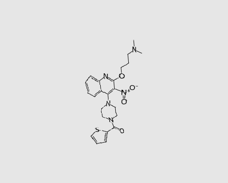 CN(C)CCCOc1nc2ccccc2c(N2CCN(C(=O)c3cccs3)CC2)c1[N+](=O)[O-]